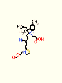 C#CCC1(C)C(/C=C/C(C#N)=C/C=C2\SCCN2CCOC=O)=[N+](CCC(=O)O)c2ccc(C)cc21